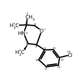 C[C@H]1NC(C)(C)COC1c1cccc(Cl)c1